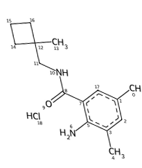 Cc1cc(C)c(N)c(C(=O)NCC2(C)CCC2)c1.Cl